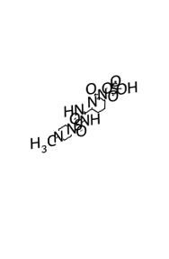 CN1CCN(S(=O)(=O)NC(=N)C2CCC3CN2C(=O)N3OS(=O)(=O)O)CC1